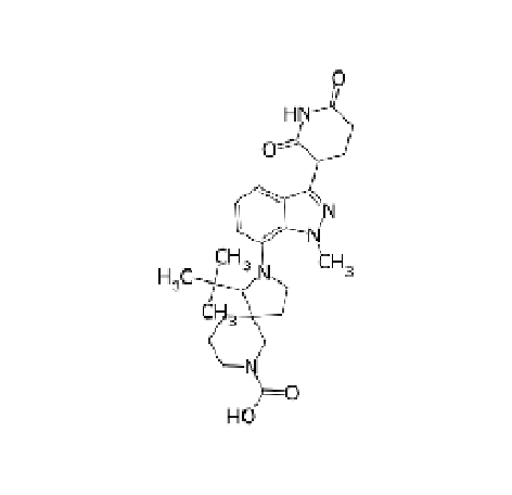 Cn1nc(C2CCC(=O)NC2=O)c2cccc(N3CCC4(CCCN(C(=O)O)C4)C3C(C)(C)C)c21